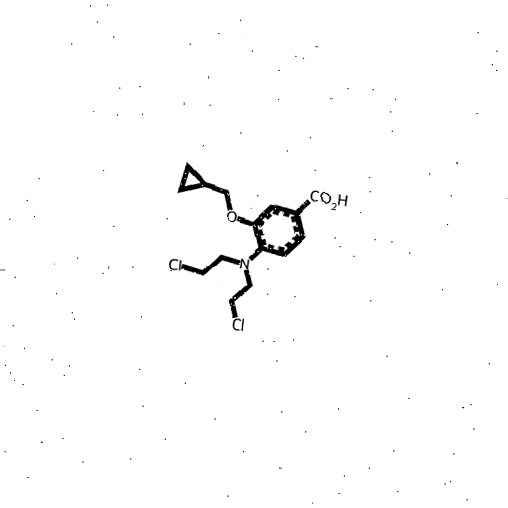 O=C(O)c1ccc(N(CCCl)CCCl)c(OCC2CC2)c1